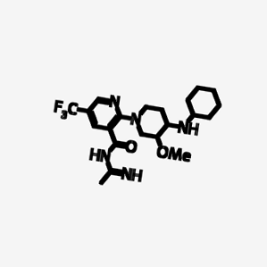 COC1CN(c2ncc(C(F)(F)F)cc2C(=O)NC(C)=N)CCC1NC1CCCCC1